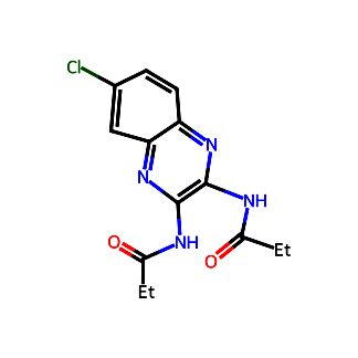 CCC(=O)Nc1nc2ccc(Cl)cc2nc1NC(=O)CC